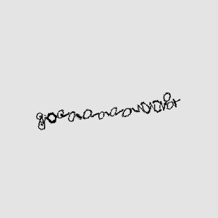 CC(C)(C)OC(=O)N1CCN(C2CCN(CCOCCOCCOCCOCCOCCOc3ccc([N+](=O)[O-])cc3)CC2)CC1